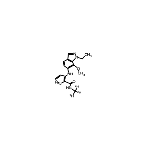 [2H]C([2H])([2H])NC(=O)c1nnccc1Nc1ccc2cnn(CC)c2c1OC